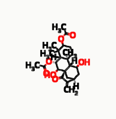 C=C1C(=O)[C@]23C[C@H]1C[C@H](O)[C@H]2[C@]1(C)CC[C@H](OC(C)=O)C(C)(C)[C@H]1[C@@H](OC(C)=O)[C@@H]3O